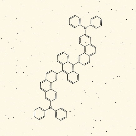 c1ccc(N(c2ccccc2)c2ccc3c(ccc4ccc(-c5c6ccccc6c(-c6ccc7ccc8cc(N(c9ccccc9)c9ccccc9)ccc8c7c6)c6ccccc56)cc43)c2)cc1